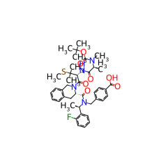 CSC(C)(C)[C@H](NC(=O)[C@H](C)N(C)C(=O)OC(C)(C)C)C(=O)N1Cc2ccccc2C[C@H]1C(=O)N(Cc1ccc(C(=O)O)cc1)[C@H](C)c1ccccc1F